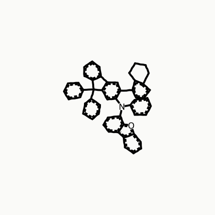 c1ccc(N(c2cc3c(cc2-c2cccc4c2CCCC4)-c2ccccc2C3(c2ccccc2)c2ccccc2)c2cccc3c2oc2ccccc23)cc1